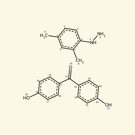 Cc1ccc(NN)c(C)c1.O=C(c1ccc(O)cc1)c1ccc(O)cc1